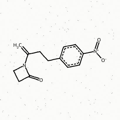 C=C(CCc1ccc([N+](=O)[O-])cc1)N1CCC1=O